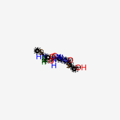 O=C(NS(=O)(=O)c1ccc(NCCSc2ccccc2)c(C(F)(F)F)c1)c1ccc(N2CCN(C(=O)c3cc(-c4cccc(O)c4)cs3)CC2)nn1